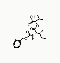 CC[C@H](C)[C@H](NC(=O)OCc1ccccc1)C(=O)O[C@H](C(=O)O)C(C)C